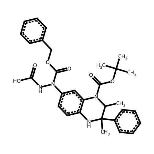 CC1N(C(=O)OC(C)(C)C)c2cc(N(NC(=O)O)C(=O)OCc3ccccc3)ccc2NC1(C)c1ccccc1